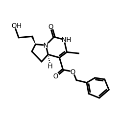 CC1=C(C(=O)OCc2ccccc2)[C@H]2CC[C@@H](CCO)N2C(=O)N1